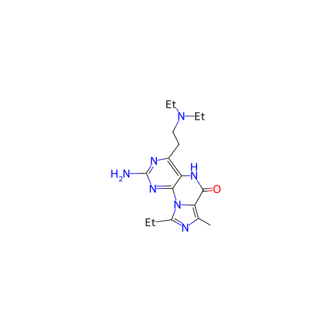 CCc1nc(C)c2c(=O)[nH]c3c(CCN(CC)CC)nc(N)nc3n12